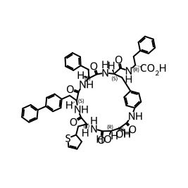 O=C(N[C@H](Cc1ccccc1)C(=O)O)[C@@H]1Cc2ccc(cc2)NC(=O)[C@H](O)[C@@H](O)C(=O)N[C@H](CC2CC=CS2)C(=O)N[C@@H](Cc2ccc(-c3ccccc3)cc2)C(=O)N[C@H](Cc2ccccc2)C(=O)N1